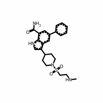 CNCCS(=O)(=O)N1CCC(c2c[nH]c3c(C(N)=O)cc(-c4ccccc4)cc23)CC1